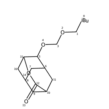 CCC(C)COCOC1C2CC3CC(C2)C(=O)OC1C3